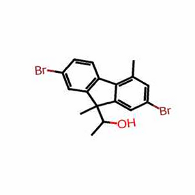 Cc1cc(Br)cc2c1-c1ccc(Br)cc1C2(C)C(C)O